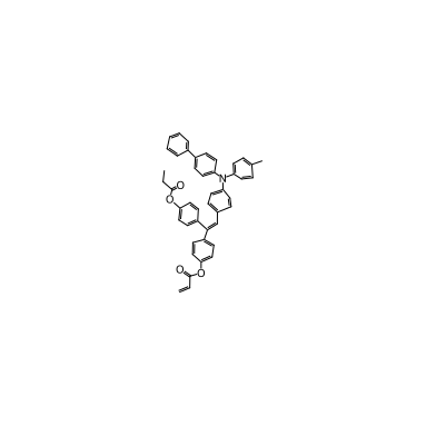 C=CC(=O)Oc1ccc(C(=Cc2ccc(N(c3ccc(C)cc3)c3ccc(-c4ccccc4)cc3)cc2)c2ccc(OC(=O)CC)cc2)cc1